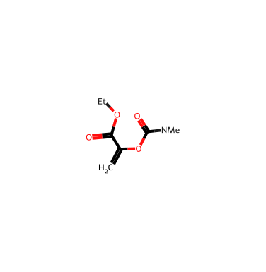 C=C(OC(=O)NC)C(=O)OCC